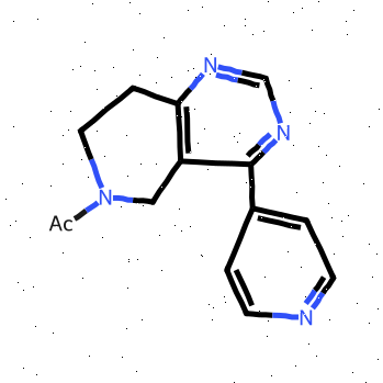 CC(=O)N1CCc2ncnc(-c3ccncc3)c2C1